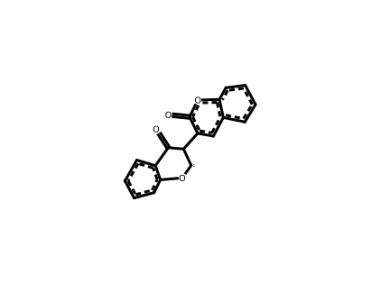 O=C1c2ccccc2O[C]C1c1cc2ccccc2oc1=O